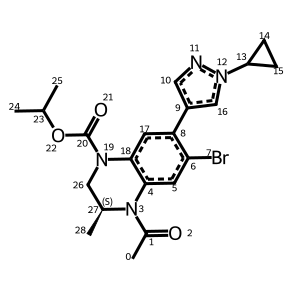 CC(=O)N1c2cc(Br)c(-c3cnn(C4CC4)c3)cc2N(C(=O)OC(C)C)C[C@@H]1C